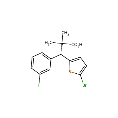 CC(C)(C(=O)O)[C@@H](c1cccc(F)c1)c1ccc(Br)s1